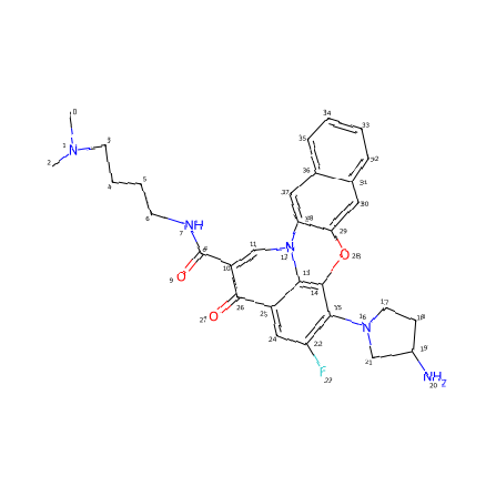 CN(C)CCCCNC(=O)c1cn2c3c(c(N4CCC(N)C4)c(F)cc3c1=O)Oc1cc3ccccc3cc1-2